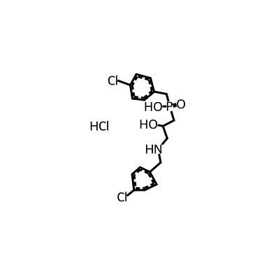 Cl.O=P(O)(Cc1ccc(Cl)cc1)CC(O)CNCc1ccc(Cl)cc1